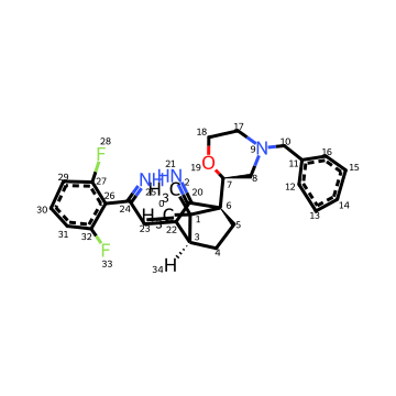 CC1(C)[C@H]2CC[C@]1([C@@H]1CN(Cc3ccccc3)CCO1)C(=N)/C2=C\C(=N)c1c(F)cccc1F